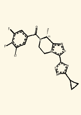 C[C@@H]1c2nnc(-c3nc(C4CC4)ns3)n2CCN1C(=O)c1cc(F)c(F)c(Cl)c1